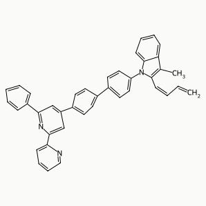 C=C/C=C\c1c(C)c2ccccc2n1-c1ccc(-c2ccc(-c3cc(-c4ccccc4)nc(-c4ccccn4)c3)cc2)cc1